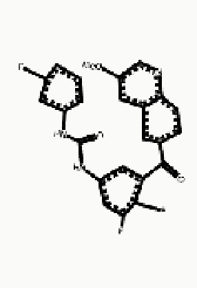 COc1cnc2ccc(C(=O)c3cc(NC(=O)Nc4cccc(F)c4)cc(F)c3F)cc2c1